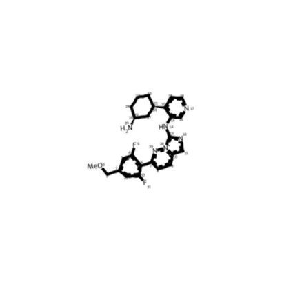 COCc1cc(F)c(-c2ccc3cnc(Nc4cnccc4[C@@H]4CCC[C@H](N)C4)n3n2)c(F)c1